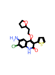 Nc1cc2c(OCCC3CCCO3)c(-c3cccs3)c(=O)[nH]c2cc1Cl